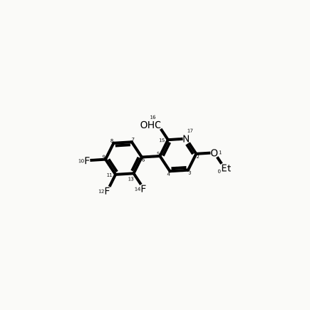 CCOc1ccc(-c2ccc(F)c(F)c2F)c(C=O)n1